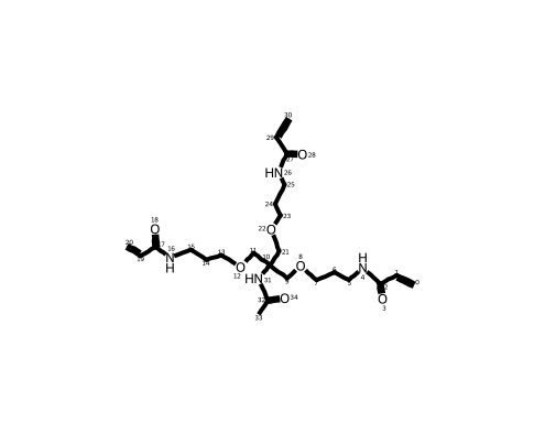 C=CC(=O)NCCCOCC(COCCCNC(=O)C=C)(COCCCNC(=O)C=C)NC(C)=O